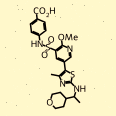 COc1ncc(-c2sc(NC(C)C3CCOCC3)nc2C)cc1S(=O)(=O)Nc1ccc(C(=O)O)cc1